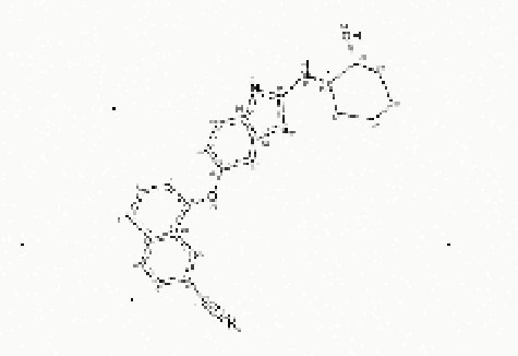 N#Cc1ccc2nccc(Oc3ccc4nc(N[C@@H]5CCCC[C@H]5O)sc4c3)c2c1